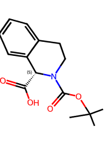 CC(C)(C)OC(=O)N1CCc2ccccc2[C@H]1C(=O)O